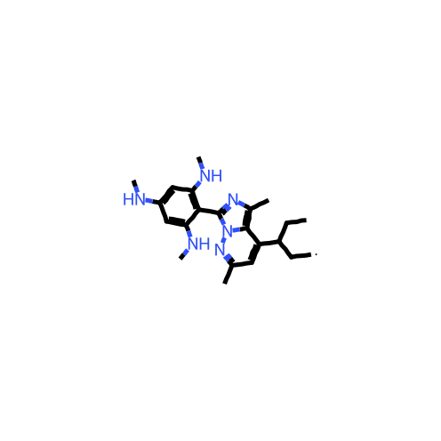 [CH2]CC(CC)c1cc(C)nn2c(-c3c(NC)cc(NC)cc3NC)nc(C)c12